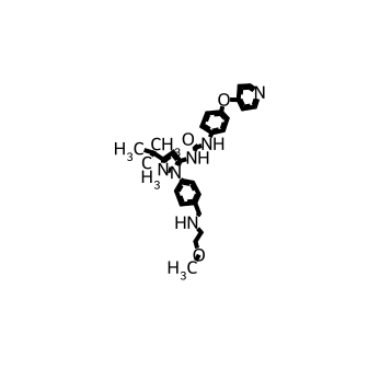 COCCNCc1ccc(-n2nc(C(C)(C)C)cc2NC(=O)Nc2ccc(Oc3ccncc3)cc2)cc1